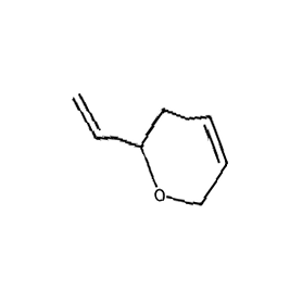 C=CC1CC=CCO1